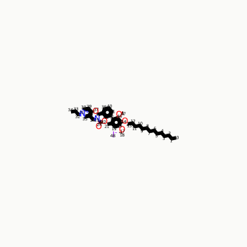 CCCCCCCCCCCCCCOc1c(OC)cc(COC(=O)N(Cc2ccc[n+](CCC)c2)C(=O)c2ccccc2)cc1OC.[I-]